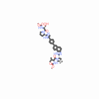 COC(=O)N[C@@H](CO)C(=O)N1CCC[C@H]1c1ncc(-c2ccc(-c3ccc4c(ccc5nc([C@@H]6C[Si](C)(C)CN6C(=O)[C@@H](NC(=O)OC)C(C)C)[nH]c54)c3)cc2)[nH]1